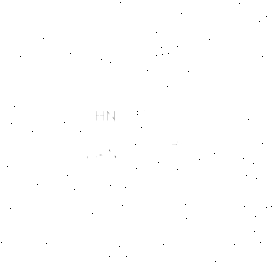 Cc1c[nH]c2c1c(Br)cc[n+]2[O-]